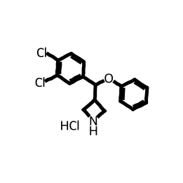 Cl.Clc1ccc(C(Oc2ccccc2)C2CNC2)cc1Cl